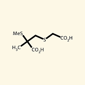 CSC(C)(CSCC(=O)O)C(=O)O